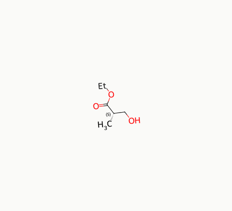 CCOC(=O)[C@@H](C)CO